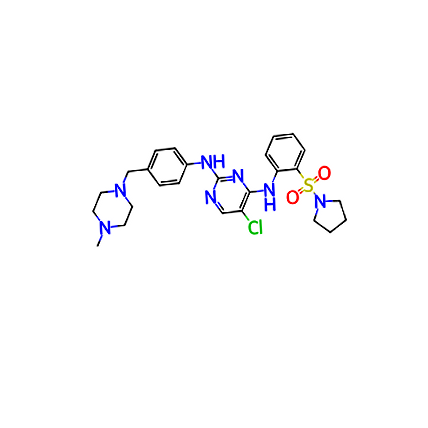 CN1CCN(Cc2ccc(Nc3ncc(Cl)c(Nc4ccccc4S(=O)(=O)N4CCCC4)n3)cc2)CC1